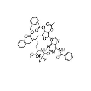 COC(=O)[C@H](CC[C@@H](C[C@H]1O[C@@H](n2cnc3c(NC(=O)c4ccccc4)ncnc32)[C@@H](OC(C)=O)C1OC(C)=O)N(Cc1ccccc1)C(=O)OCc1ccccc1)NC(=O)C(F)(F)F